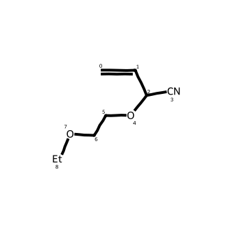 C=CC(C#N)OCCOCC